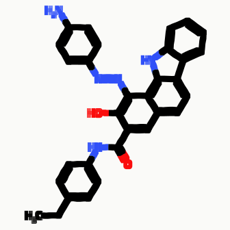 CCc1ccc(NC(=O)c2cc3ccc4c5ccccc5[nH]c4c3c(N=Nc3ccc(N)cc3)c2O)cc1